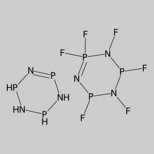 FN1P(F)N=P(F)(F)N(F)P1F.n1p[nH][pH][nH][pH]1